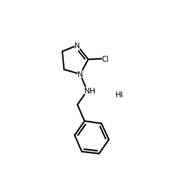 ClC1=NCCN1NCc1ccccc1.I